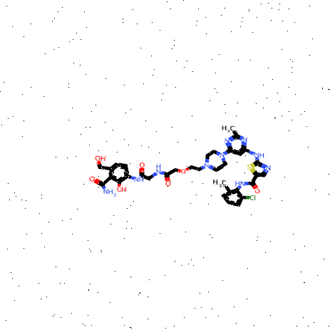 Cc1nc(Nc2ncc(C(=O)Nc3c(C)cccc3Cl)s2)cc(N2CCN(CCOCC(=O)NCC(=O)Nc3ccc(CO)c(C(N)=O)c3O)CC2)n1